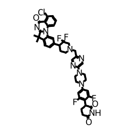 CC1(C)c2ccc(C3CCN(Cc4cnc(N5CCN(c6cc(F)c(C7CCC(=O)NC7=O)c(F)c6)CC5)cn4)CC3(F)F)cc2-n2c1nc(=O)c1c(Cl)cccc12